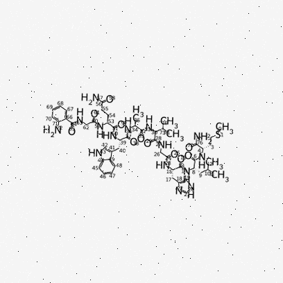 CSCC[C@H](NC(=O)[C@H](CC(C)C)NC(=O)[C@H](Cc1c[nH]cn1)NC(=O)CNC(=O)[C@@H](NC(=O)[C@H](C)NC(=O)[C@H](Cc1c[nH]c2ccccc12)NC(=O)[C@H](CCC(N)=O)NC(=O)CNC(=O)c1ccccc1N)C(C)C)C(N)=O